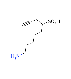 C#CCC(CCCCCN)S(=O)(=O)O